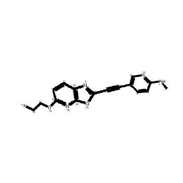 CNc1ccc(C#Cc2nc3ccc(OCCF)nc3o2)cn1